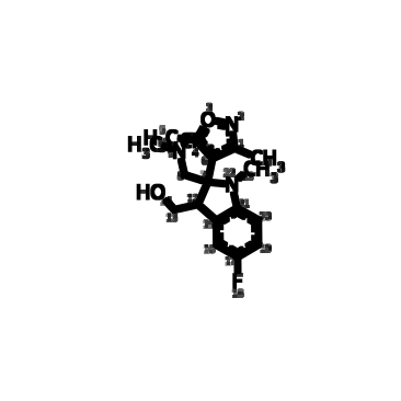 Cc1noc(C)c1C1(CN(C)C)C(CO)c2cc(F)ccc2N1C